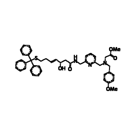 COC(=O)CN(Cc1ccc(OC)cc1)Cc1cccc(CNC(=O)CC(O)C=CCCSC(c2ccccc2)(c2ccccc2)c2ccccc2)n1